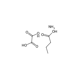 CCCC(=O)O.N.O=C(O)C(=O)O